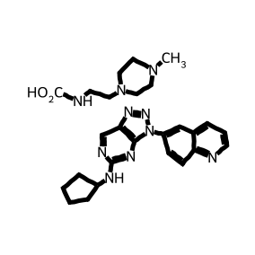 CN1CCN(CCNC(=O)O)CC1.c1cnc2ccc(-n3nnc4cnc(NC5CCCC5)nc43)cc2c1